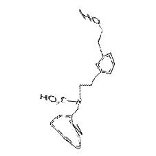 O=C(O)N(CCc1cccc(CCO)c1)Cc1ccccn1